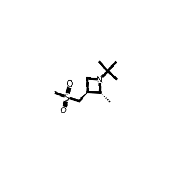 C[C@@H]1[C@@H](CS(C)(=O)=O)CN1C(C)(C)C